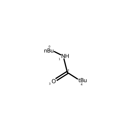 [CH2]CCCNC(=O)C(C)(C)C